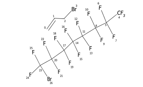 C=CCBr.FC(F)(F)C(F)(F)C(F)(F)C(F)(F)C(F)(F)C(F)(F)C(F)(F)C(F)(F)Br